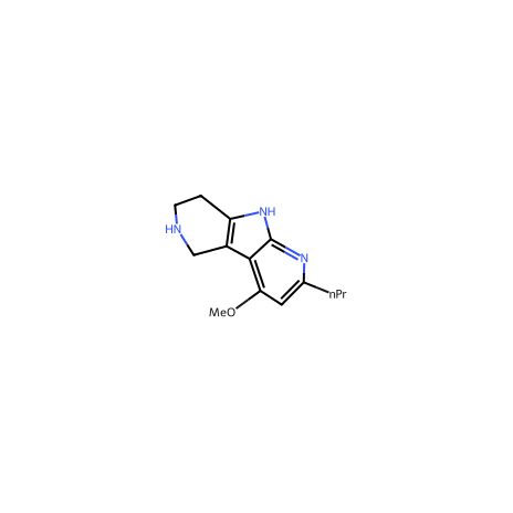 CCCc1cc(OC)c2c3c([nH]c2n1)CCNC3